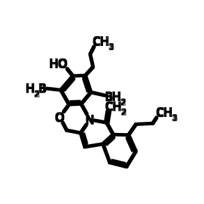 Bc1c(O)c(CCC)c(B)c2c1OCC1=Cc3cccc(CCC)c3C(=C)N12